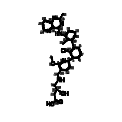 COc1nc(-c2cccc(-c3cccc(Nc4nc(C)nc5cccnc45)c3C)c2Cl)ccc1CNC[C@@H](O)CC(=O)O